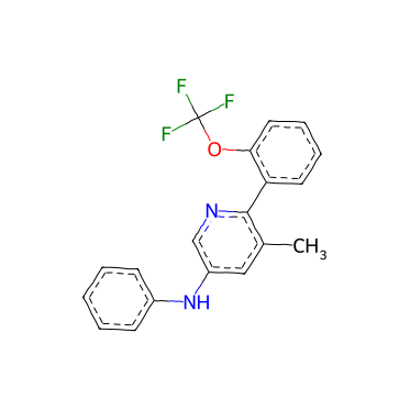 Cc1cc(Nc2ccccc2)cnc1-c1ccccc1OC(F)(F)F